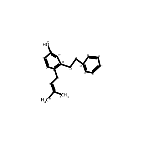 CC(C)=CCc1ccc(O)cc1CCc1ccccc1